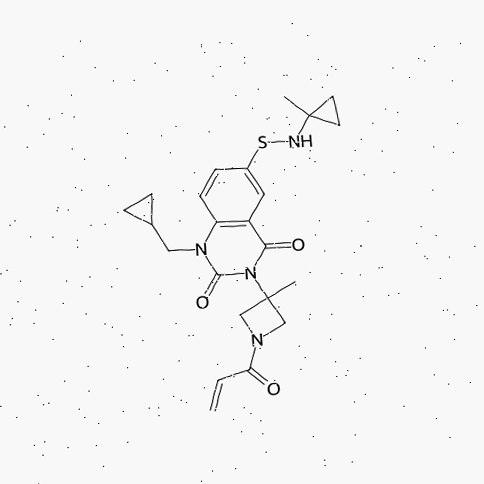 C=CC(=O)N1CC(C)(n2c(=O)c3cc(SNC4(C)CC4)ccc3n(CC3CC3)c2=O)C1